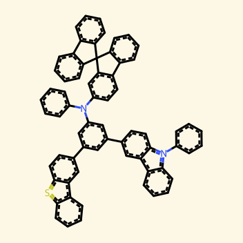 c1ccc(N(c2cc(-c3ccc4sc5ccccc5c4c3)cc(-c3ccc4c(c3)c3ccccc3n4-c3ccccc3)c2)c2ccc3c(c2)C2(c4ccccc4-c4ccccc42)c2ccccc2-3)cc1